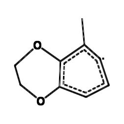 Cc1[c]ccc2c1OCCO2